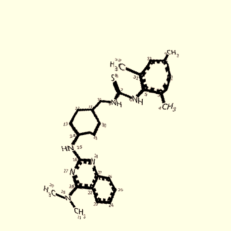 Cc1cc(C)c(NC(=S)NCC2CCC(Nc3nc(N(C)C)c4ccccc4n3)CC2)c(C)c1